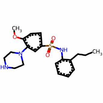 CCCc1ccccc1NS(=O)(=O)c1ccc(OC)c(N2CCNCC2)c1